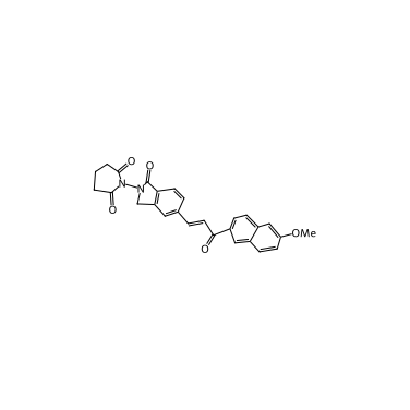 COc1ccc2cc(C(=O)/C=C/c3ccc4c(c3)CN(N3C(=O)CCCC3=O)C4=O)ccc2c1